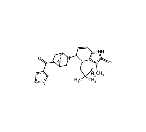 Cn1c2c([nH]c1=O)C=CC(N1CC3CCC1CN3C(=O)c1cnsc1)N2CC(C)(C)C